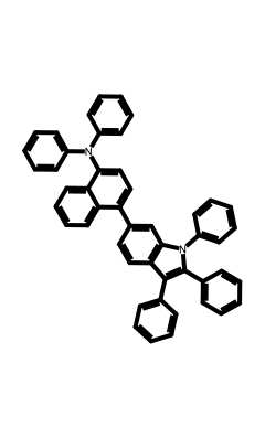 c1ccc(-c2c(-c3ccccc3)n(-c3ccccc3)c3cc(-c4ccc(N(c5ccccc5)c5ccccc5)c5ccccc45)ccc23)cc1